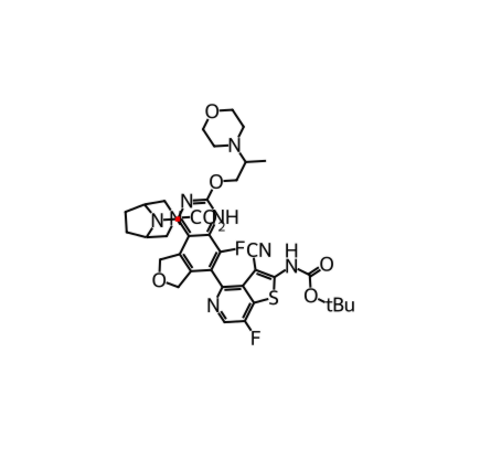 CC(COc1nc(N2C3CCC2CN(C(=O)O)C3)c2c3c(c(-c4ncc(F)c5sc(NC(=O)OC(C)(C)C)c(C#N)c45)c(F)c2n1)COC3)N1CCOCC1